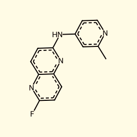 Cc1cc(Nc2ccc3nc(F)ccc3n2)ccn1